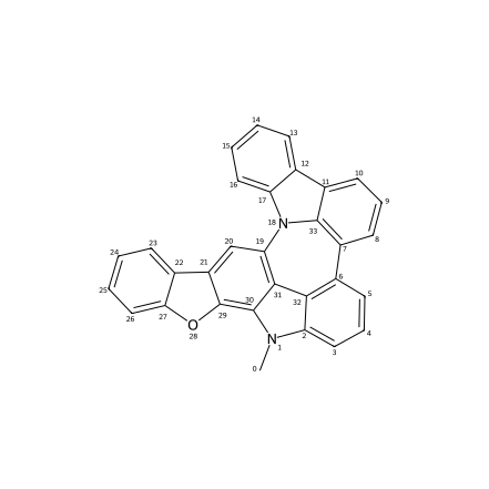 Cn1c2cccc3c4cccc5c6ccccc6n(c6cc7c8ccccc8oc7c1c6c32)c45